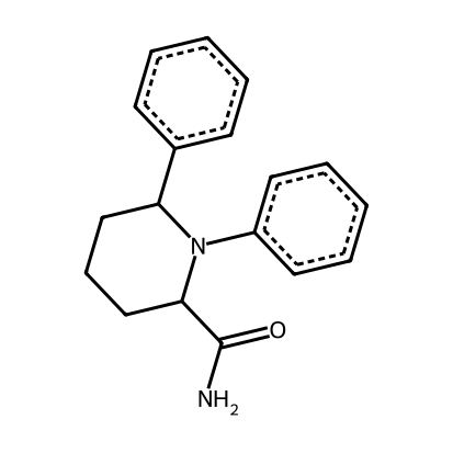 NC(=O)C1CCCC(c2ccccc2)N1c1ccccc1